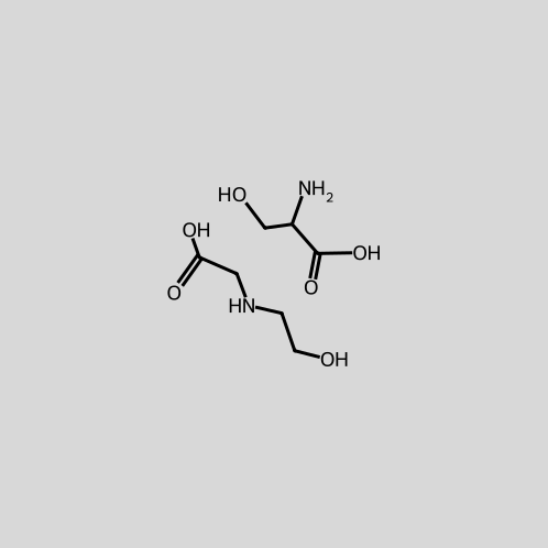 NC(CO)C(=O)O.O=C(O)CNCCO